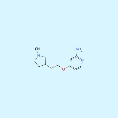 N#CN1CCC(CCOc2ccnc(N)c2)C1